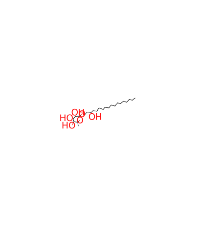 CCCCCCCCCCCCCCC[C@@H](O)CCOC1OC(C)C(O)C(O)C1O